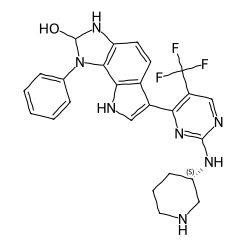 OC1Nc2ccc3c(-c4nc(N[C@H]5CCCNC5)ncc4C(F)(F)F)c[nH]c3c2N1c1ccccc1